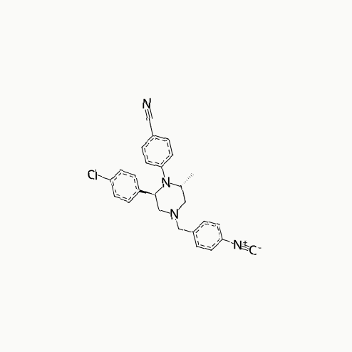 [C-]#[N+]c1ccc(CN2C[C@@H](C)N(c3ccc(C#N)cc3)[C@H](c3ccc(Cl)cc3)C2)cc1